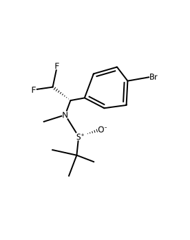 CN([C@@H](c1ccc(Br)cc1)C(F)F)[S@+]([O-])C(C)(C)C